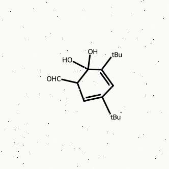 CC(C)(C)C1=CC(C=O)C(O)(O)C(C(C)(C)C)=C1